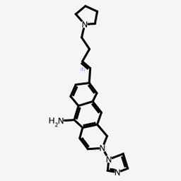 Nc1c2c(cc3cc(/C=C/CCN4CCCC4)ccc13)CN(n1ccnc1)C=C2